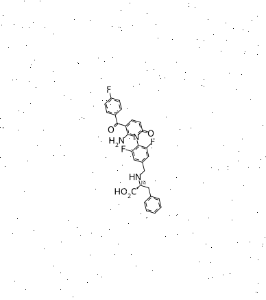 Nc1c(C(=O)c2ccc(F)cc2)ccc(=O)n1-c1c(F)cc(CN[C@@H](Cc2ccccc2)C(=O)O)cc1F